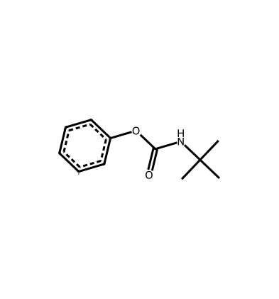 CC(C)(C)NC(=O)Oc1c[c]ccc1